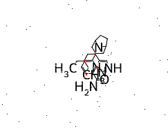 CCC(CC)CC(c1c[nH]nn1)N1C2CCC1CC(c1cccc(C(N)=O)c1)C2